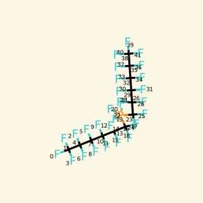 FC(F)(F)C(F)(F)C(F)(F)C(F)(F)C(F)(F)C(F)(F)P(F)(F)(F)C(F)(F)C(F)(F)C(F)(F)C(F)(F)C(F)(F)C(F)(F)F